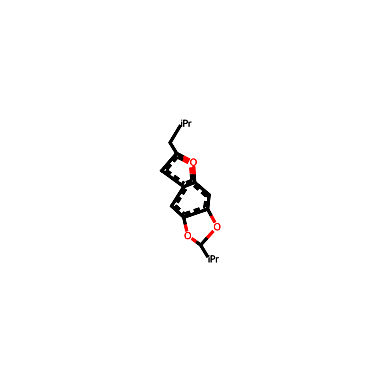 CC(C)Cc1cc2cc3c(cc2o1)OC(C(C)C)O3